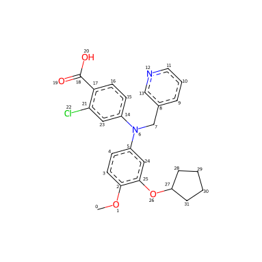 COc1ccc(N(Cc2cccnc2)c2ccc(C(=O)O)c(Cl)c2)cc1OC1CCCC1